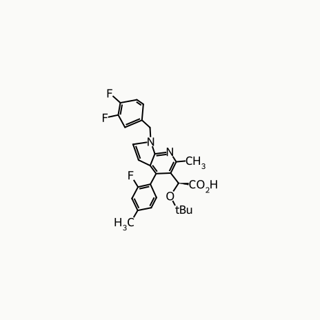 Cc1ccc(-c2c([C@H](OC(C)(C)C)C(=O)O)c(C)nc3c2ccn3Cc2ccc(F)c(F)c2)c(F)c1